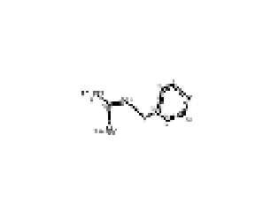 C[N]C(N)=NCc1ccccc1